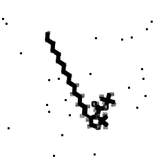 CCCCCCCCCCCCCCC=C[C@@H]1COC(C)(C)N1C(=O)OC(C)(C)C